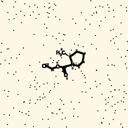 C[C@@H]1CCCCN1C(=O)OCCl